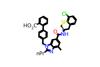 CCCc1nc2c(C)cc(C(=O)N[C@@H](CS)Cc3cccc(Cl)c3)cc2n1Cc1ccc(-c2ccccc2C(=O)O)cc1